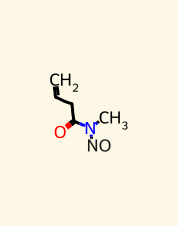 C=CCC(=O)N(C)N=O